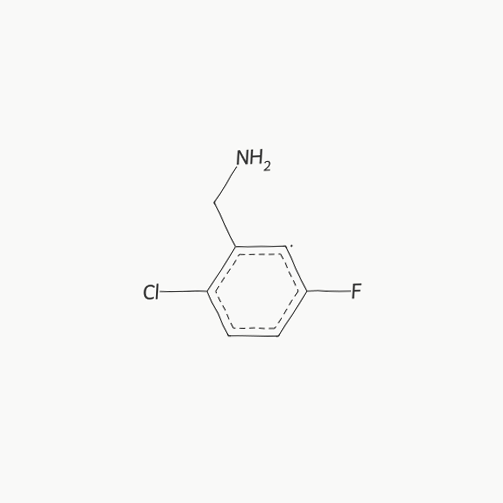 NCc1[c]c(F)ccc1Cl